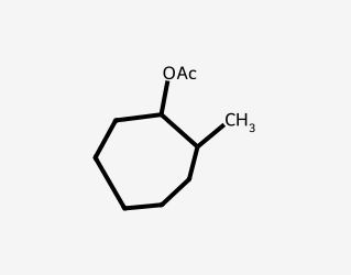 CC(=O)OC1CCCCCC1C